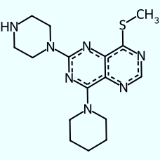 CSc1ncnc2c(N3CCCCC3)nc(N3CCNCC3)nc12